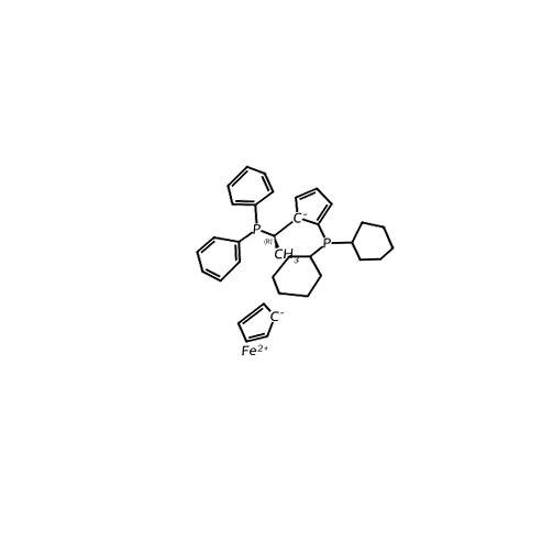 C[C@H]([c-]1cccc1P(C1CCCCC1)C1CCCCC1)P(c1ccccc1)c1ccccc1.[Fe+2].c1cc[cH-]c1